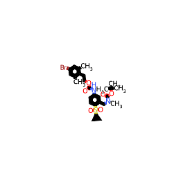 Cc1cc(Br)cc(C)c1CCOC(=O)Nc1ccc(S(=O)(=O)C2CC2)c(CN(C)C(=O)OC(C)(C)C)c1